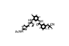 C=N/C(=N\C=C1/CSC(NC(C)=O)=N1)Nc1cc(NC(=O)c2cccc(CC(C)(C)C#N)c2)ccc1C